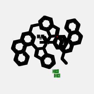 CCc1cc(C2=Cc3ccccc3[CH]2[Zr]([CH3])(=[SiH2])([c]2ccccc2)[CH]2C(c3cc(CC)cc4ccc5ccccc5c34)=Cc3ccccc32)c2c(ccc3ccccc32)c1.Cl.Cl